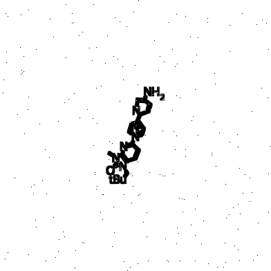 Cn1c(=O)n(CC(C)(C)C)c2ccc(N3CC4CCC3CN4c3ccc(N)cn3)nc21